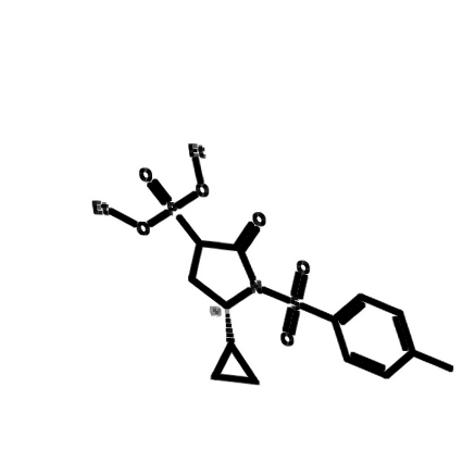 CCOP(=O)(OCC)C1C[C@@H](C2CC2)N(S(=O)(=O)c2ccc(C)cc2)C1=O